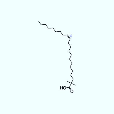 CCCCCCCC/C=C\CCCCCCCCCCC(C)(C)C(=O)O